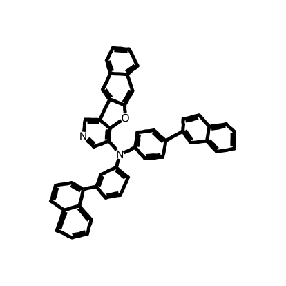 c1cc(-c2cccc3ccccc23)cc(N(c2ccc(-c3ccc4ccccc4c3)cc2)c2cncc3c2oc2cc4ccccc4cc23)c1